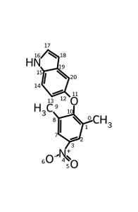 Cc1cc([N+](=O)[O-])cc(C)c1Oc1ccc2[nH]ccc2c1